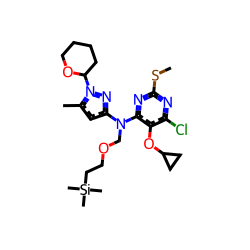 CSc1nc(Cl)c(OC2CC2)c(N(COCC[Si](C)(C)C)c2cc(C)n(C3CCCCO3)n2)n1